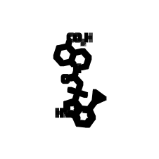 CC(C)(CC(=O)N1CCCC2C(C(=O)O)CCCC21)c1c[nH]c2cccc(C3CC3)c12